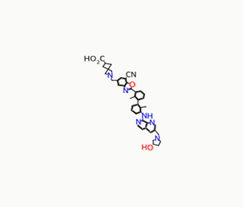 Cc1c(Nc2nccc3cc(CN4CCC(O)C4)cnc23)cccc1-c1cccc(-c2nc3cc(CN4CC5(CC(C(=O)O)C5)C4)cc(C#N)c3o2)c1C